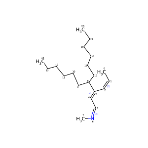 C\C=C/C(=C\C=N/C)C(CCCCCC)CCCCCC